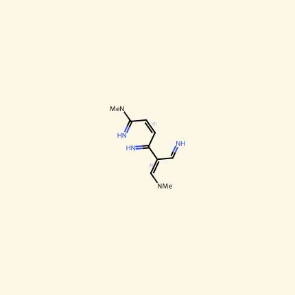 CN/C=C(\C=N)C(=N)/C=C\C(=N)NC